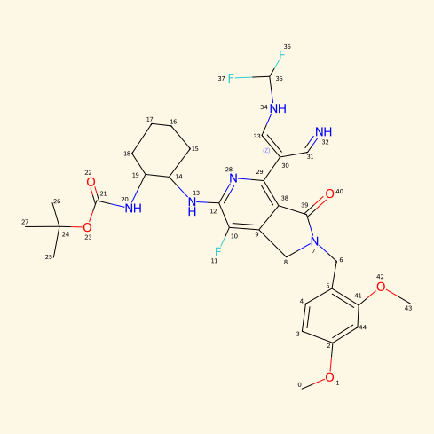 COc1ccc(CN2Cc3c(F)c(NC4CCCCC4NC(=O)OC(C)(C)C)nc(/C(C=N)=C/NC(F)F)c3C2=O)c(OC)c1